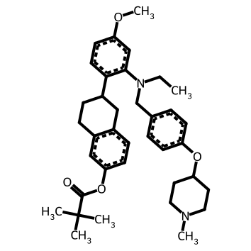 CCN(Cc1ccc(OC2CCN(C)CC2)cc1)c1cc(OC)ccc1C1CCc2cc(OC(=O)C(C)(C)C)ccc2C1